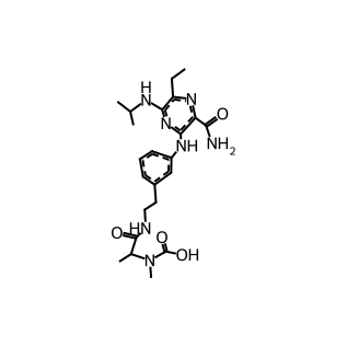 CCc1nc(C(N)=O)c(Nc2cccc(CCNC(=O)C(C)N(C)C(=O)O)c2)nc1NC(C)C